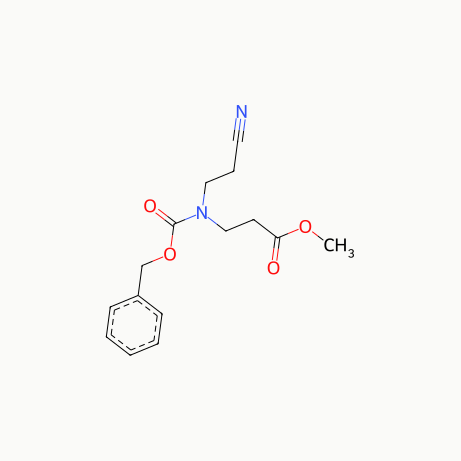 COC(=O)CCN(CCC#N)C(=O)OCc1ccccc1